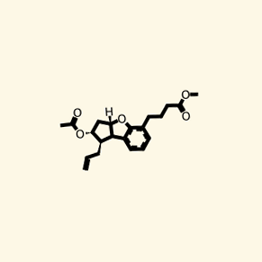 C=CC[C@@H]1C2c3cccc(CCCC(=O)OC)c3O[C@H]2C[C@H]1OC(C)=O